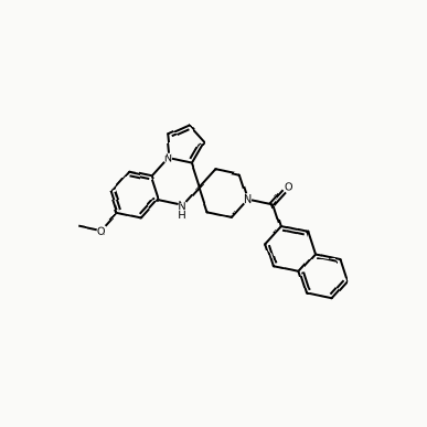 COc1ccc2c(c1)NC1(CCN(C(=O)c3ccc4ccccc4c3)CC1)c1cccn1-2